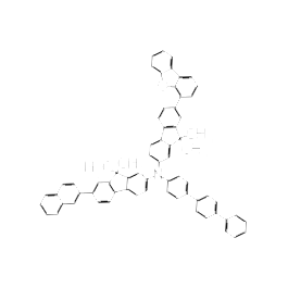 CC1(C)c2cc(-c3ccc4ccccc4c3)ccc2-c2ccc(N(c3ccc(-c4ccc(-c5ccccc5)cc4)cc3)c3ccc4c(c3)C(C)(C)c3cc(-c5cccc6c5oc5ccccc56)ccc3-4)cc21